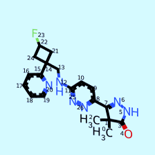 CC1(C)C(=O)NN=C1c1ccc(NCC2(c3ccccn3)CC(F)C2)nn1